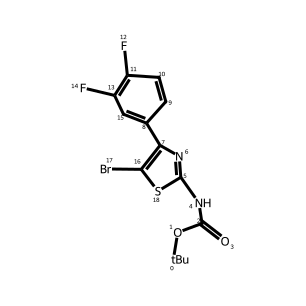 CC(C)(C)OC(=O)Nc1nc(-c2ccc(F)c(F)c2)c(Br)s1